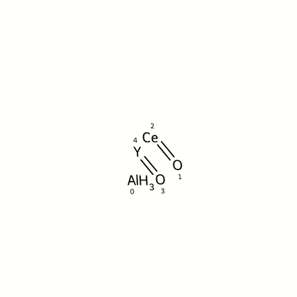 [AlH3].[O]=[Ce].[O]=[Y]